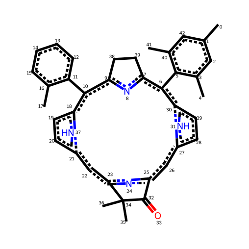 Cc1cc(C)c(-c2c3nc(c(-c4ccccc4C)c4ccc(cc5nc(cc6ccc2[nH]6)C(=O)C5(C)C)[nH]4)CC3)c(C)c1